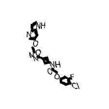 O=C(COc1ccc(Cl)c(F)c1)NC12CC(c3nnc(COc4cnc5cc[nH]c5c4)o3)(C1)C2